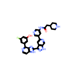 O=C(CC1CCNCC1)Nc1cncc(-c2cc3c(-c4nc5c(-c6cc(O)cc(F)c6)nccc5[nH]4)n[nH]c3cn2)c1